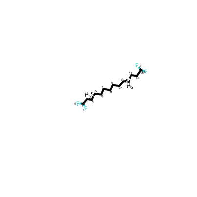 FC(F)CC[SiH2]CCCCCC[SiH2]CCC(F)F